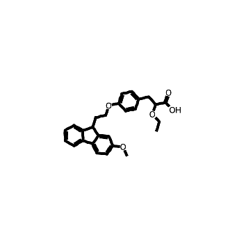 CCOC(Cc1ccc(OCCC2c3ccccc3-c3ccc(OC)cc32)cc1)C(=O)O